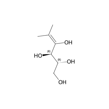 CC(C)=C(O)[C@H](O)[C@H](O)CO